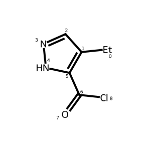 CCc1cn[nH]c1C(=O)Cl